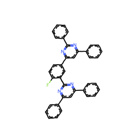 Fc1ccc(-c2cc(-c3ccccc3)nc(-c3ccccc3)n2)cc1-c1nc(-c2ccccc2)cc(-c2ccccc2)n1